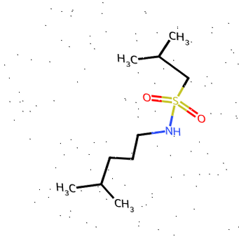 CC(C)CCCNS(=O)(=O)CC(C)C